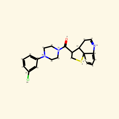 O=C(C1CSC23CC=CC=C2N=CCC13)N1CCN(c2cccc(Cl)c2)CC1